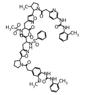 COc1cc(CC(=O)N2CCCC2c2cc(CC(NS(=O)(=O)c3ccccc3)C(=O)OC(=O)C(Cc3cc(C4C(C)CCN4C(=O)Cc4ccc(NC(=O)Nc5ccccc5C)cn4)on3)NS(C)(=O)=O)no2)ccc1NC(=O)Nc1ccccc1C